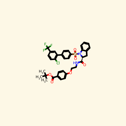 CC(C)(C)OC(=O)c1ccc(OCCNC(=O)[C@@H]2Cc3ccccc3N2S(=O)(=O)c2ccc(-c3cc(C(F)(F)F)ccc3Cl)cc2)cc1